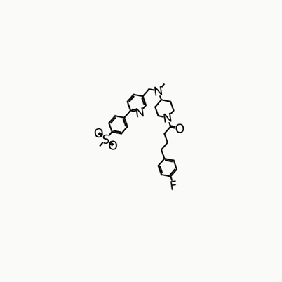 CN(Cc1ccc(-c2ccc(S(C)(=O)=O)cc2)nc1)C1CCN(C(=O)CCCc2ccc(F)cc2)CC1